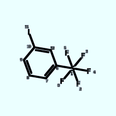 FS(F)(F)(F)(F)c1cccc(I)c1